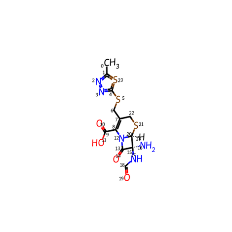 Cc1nnc(SCC2=C(C(=O)O)N3C(=O)[C@](N)(NC=O)[C@@H]3SC2)s1